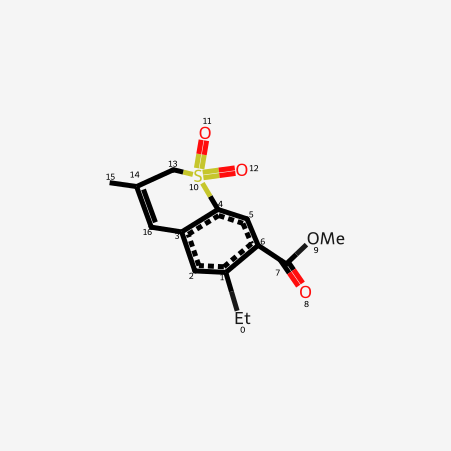 CCc1cc2c(cc1C(=O)OC)S(=O)(=O)CC(C)=C2